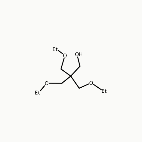 CCOCC(CO)(COCC)COCC